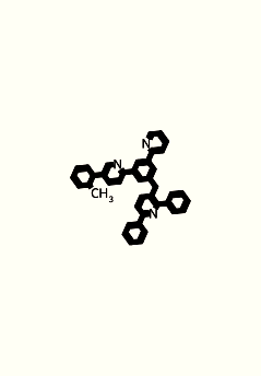 CC1C=CC=CC1c1ccc(-c2cc(Cc3ccc(-c4ccccc4)nc3-c3ccccc3)cc(-c3ccccn3)c2)nc1